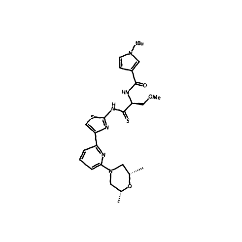 COC[C@H](NC(=O)c1ccn(C(C)(C)C)c1)C(=S)Nc1nc(-c2cccc(N3C[C@@H](C)O[C@@H](C)C3)n2)cs1